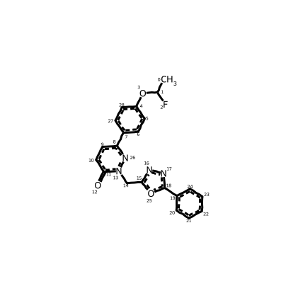 CC(F)Oc1ccc(-c2ccc(=O)n(Cc3nnc(-c4ccccc4)o3)n2)cc1